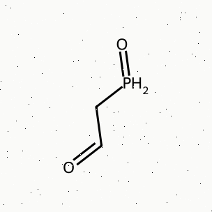 O=CC[PH2]=O